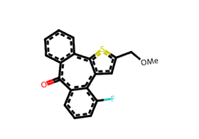 COCc1cc2c(s1)c1ccccc1c(=O)c1cccc(F)c12